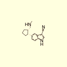 CNC[C@H]1CCC[C@H]1c1ccc2[nH]cc(C#N)c2c1